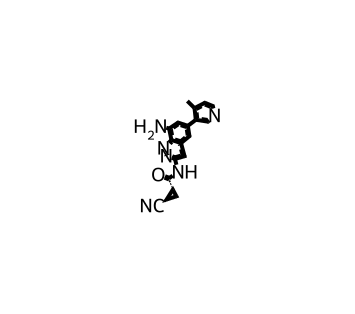 Cc1ccncc1-c1cc(N)c2nnc(NC(=O)[C@@H]3C[C@H]3C#N)cc2c1